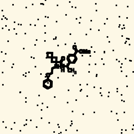 COC(=O)c1ccc(C(C)NC(=O)C2(NCCOc3ccccc3)CC3(CCC3)C2)cc1